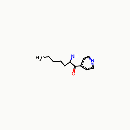 CCCCCC([NH])C(=O)c1ccncc1